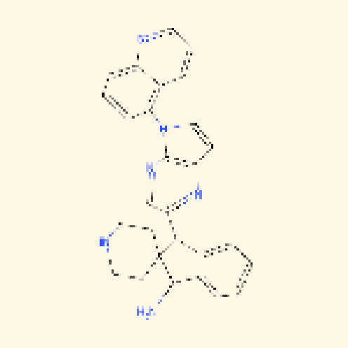 NC1c2ccccc2C(c2cnc3c(ccn3-c3cccc4ncccc34)n2)C12CCNCC2